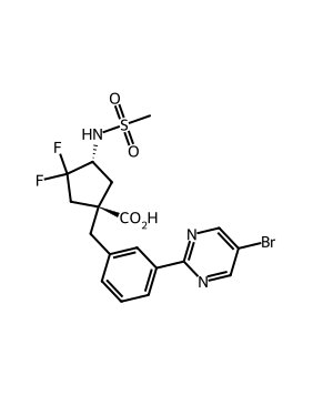 CS(=O)(=O)N[C@@H]1C[C@@](Cc2cccc(-c3ncc(Br)cn3)c2)(C(=O)O)CC1(F)F